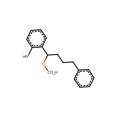 CCCc1ccccc1C(CCCc1ccccc1)OC(=O)O